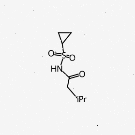 CC(C)CC(=O)NS(=O)(=O)C1CC1